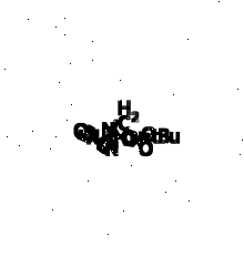 C=Cc1nc2c(N3CCOCC3)ccnn2c1C1CCN(C(=O)OC(C)(C)C)CC1